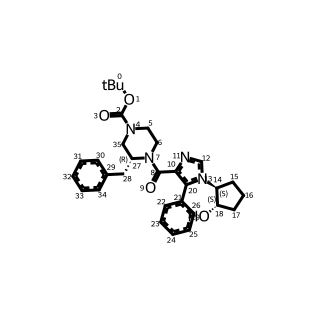 CC(C)(C)OC(=O)N1CCN(C(=O)c2ncn([C@H]3CCC[C@@H]3O)c2-c2ccccc2)[C@H](Cc2ccccc2)C1